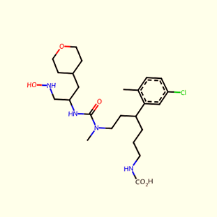 Cc1ccc(Cl)cc1C(CCCNC(=O)O)CCN(C)C(=O)NC(CNO)CC1CCOCC1